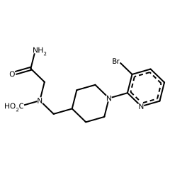 NC(=O)CN(CC1CCN(c2ncccc2Br)CC1)C(=O)O